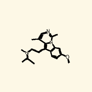 COc1ccc2c(CCN(C)C(C)C)c3c(C)cnc(C)n3c2c1